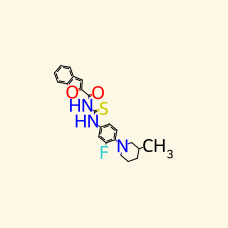 CC1CCCN(c2ccc(NC(=S)NC(=O)c3cc4ccccc4o3)cc2F)C1